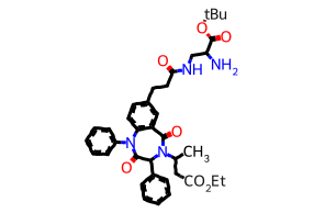 CCOC(=O)CC(C)N1C(=O)c2cc(CCC(=O)NCC(N)C(=O)OC(C)(C)C)ccc2N(c2ccccc2)C(=O)C1c1ccccc1